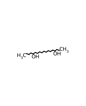 CCCCC(O)CCCCCCCCCC(O)CCC